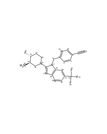 N#Cc1ccc(Cn2c(N3CC[C@@H](F)[C@H](N)C3)nc3ncc(C(F)(F)F)cc32)nc1